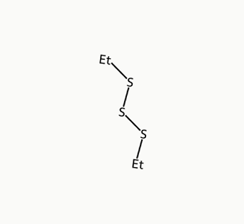 [CH2]CSSSCC